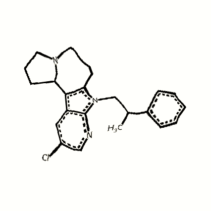 CC(Cn1c2c(c3cc(Cl)cnc31)C1CCCN1CC2)c1ccccc1